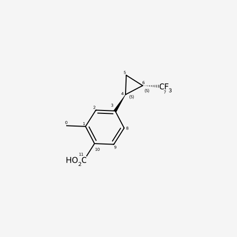 Cc1cc([C@H]2C[C@@H]2C(F)(F)F)ccc1C(=O)O